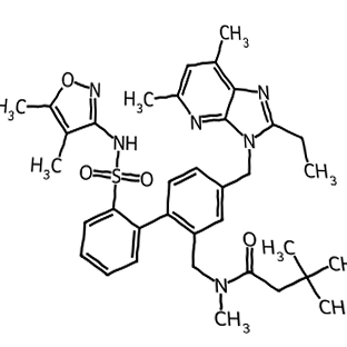 CCc1nc2c(C)cc(C)nc2n1Cc1ccc(-c2ccccc2S(=O)(=O)Nc2noc(C)c2C)c(CN(C)C(=O)CC(C)(C)C)c1